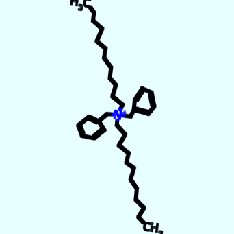 CCCCCCCCCCCC[N+](CCCCCCCCCCCC)(Cc1ccccc1)Cc1ccccc1